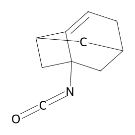 O=C=NC12CC3CC=C1C(C3)C2